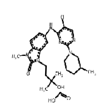 CC1CCCN(c2ncc(Cl)c(Nc3ccc4c(c3)n(CCC(C)(C)O)c(=O)n4C)n2)C1.O=CO